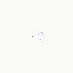 Cc1nn(-c2c(Cl)cc(Cl)cc2Cl)c2c(=O)n(C)c(N(C)C)nc12